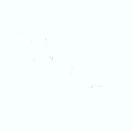 CCCCCOc1ccc(-c2ccc(-c3ccc(CC)cc3F)nc2)cc1